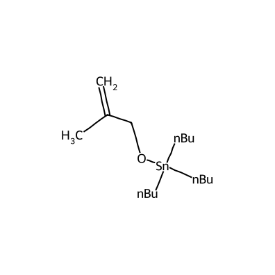 C=C(C)C[O][Sn]([CH2]CCC)([CH2]CCC)[CH2]CCC